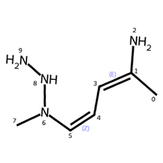 C/C(N)=C\C=C/N(C)NN